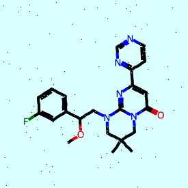 COC(CN1CC(C)(C)Cn2c1nc(-c1ccncn1)cc2=O)c1cccc(F)c1